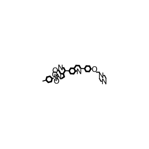 Cc1ccc(S(=O)(=O)n2ccc3c(-c4ccc5nc(-c6ccc(OCCN7CCN(C)CC7)cc6)ccc5c4)cn(C)c(=O)c32)cc1